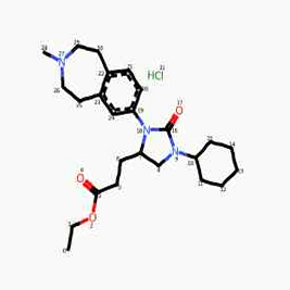 CCOC(=O)CCC1CN(C2CCCCC2)C(=O)N1c1ccc2c(c1)CCN(C)CC2.Cl